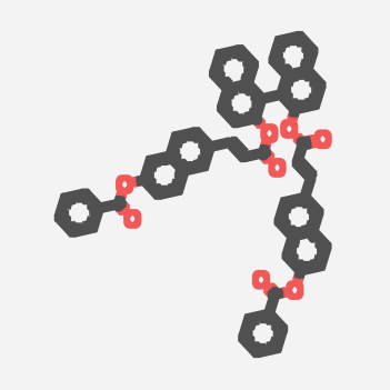 O=C(/C=C/c1ccc2cc(OC(=O)c3ccccc3)ccc2c1)Oc1ccc2ccccc2c1-c1c(OC(=O)/C=C/c2ccc3cc(OC(=O)c4ccccc4)ccc3c2)ccc2ccccc12